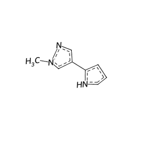 Cn1cc(-c2ccc[nH]2)cn1